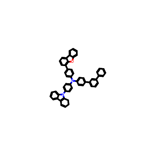 C1=Cc2c(n(-c3ccc(N(c4ccc(-c5cccc(-c6ccccc6)c5)cc4)c4ccc(-c5cccc6c5oc5ccccc56)cc4)cc3)c3ccccc23)CC1